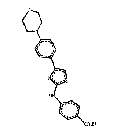 CCOC(=O)c1ccc(Nc2nc(-c3ccc(N4CCOCC4)cc3)cs2)cc1